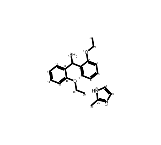 BC(c1ccccc1OCC)c1ccccc1OCC.Cc1ncc[nH]1